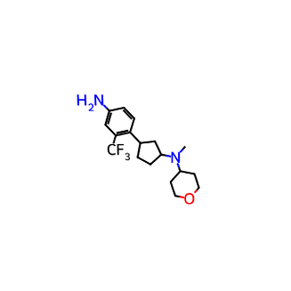 CN(C1CCOCC1)C1CCC(c2ccc(N)cc2C(F)(F)F)C1